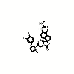 CNC(=O)Nc1ccc2c(c1F)CC[C@]21OC(=O)N(CC(=O)N2[C@@H](C)CC[C@H]2c2ccc(F)c(F)c2)C1=O